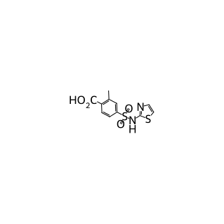 Cc1cc(S(=O)(=O)Nc2nccs2)ccc1C(=O)O